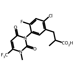 CC(Cc1cc(-n2c(=O)cc(C(F)(F)F)n(C)c2=O)c(F)cc1Cl)C(=O)O